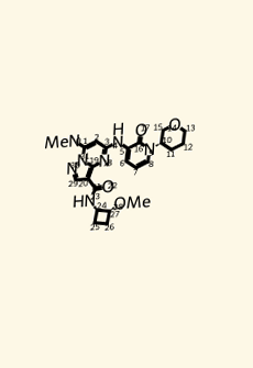 CNc1cc(Nc2cccn([C@H]3CCCOC3)c2=O)nc2c(C(=O)N[C@@H]3CC[C@H]3OC)cnn12